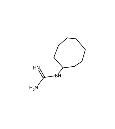 N=C(N)BC1CCCCCCC1